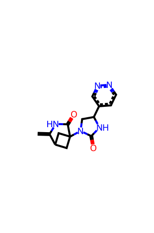 C=C1NC(=O)C2(N3CC(c4ccnnc4)NC3=O)CC1C2